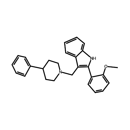 COc1ccccc1-c1[nH]c2ccccc2c1CN1CCC(c2ccccc2)CC1